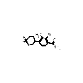 CCc1c(C(N)=O)ccc(C2CCC(F)(F)CC2)c1C